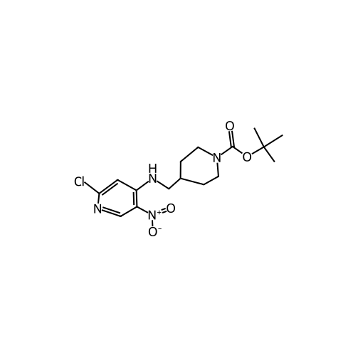 CC(C)(C)OC(=O)N1CCC(CNc2cc(Cl)ncc2[N+](=O)[O-])CC1